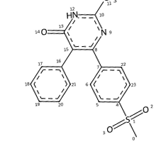 CS(=O)(=O)c1ccc(-c2nc(C(F)(F)F)[nH]c(=O)c2-c2ccccc2)cc1